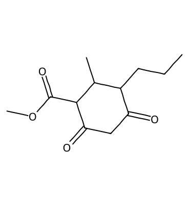 CCCC1C(=O)CC(=O)C(C(=O)OC)C1C